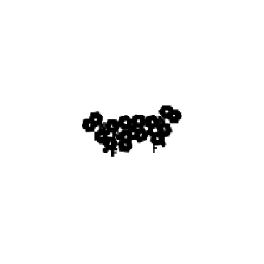 Cc1ccc(C(c2ccc3c(c2)C(c2ccccc2)(c2ccccc2)c2cc(N(c4ccc(C)c(F)c4)c4cccc5c4c4ccccc4n5-c4cccc5ccccc45)c4ccccc4c2-3)c2cccc3c2c2ccccc2n3-c2cccc3ccccc23)cc1F